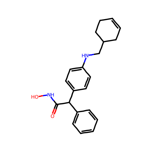 O=C(NO)C(c1ccccc1)c1ccc(NCC2CC=CCC2)cc1